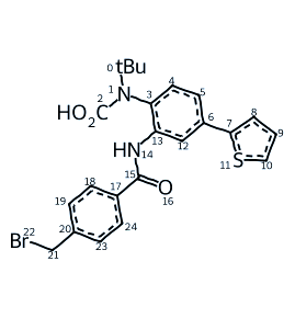 CC(C)(C)N(C(=O)O)c1ccc(-c2cccs2)cc1NC(=O)c1ccc(CBr)cc1